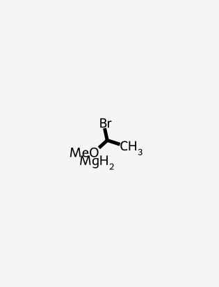 COC(C)Br.[MgH2]